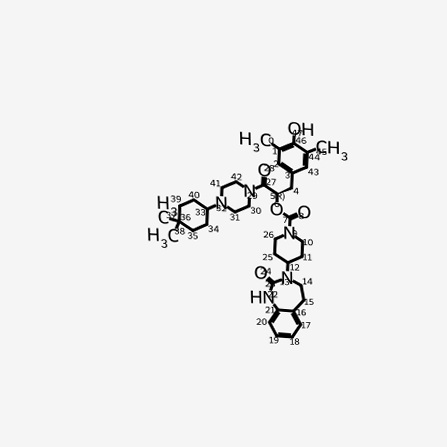 Cc1cc(C[C@@H](OC(=O)N2CCC(N3CCc4ccccc4NC3=O)CC2)C(=O)N2CCN(C3CCC(C)(C)CC3)CC2)cc(C)c1O